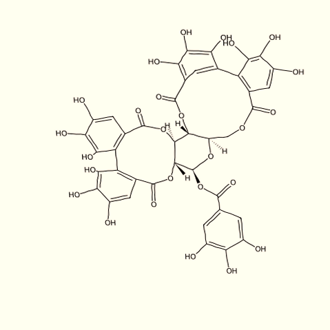 O=C(O[C@@H]1O[C@@H]2COC(=O)c3cc(O)c(O)c(O)c3-c3cc(c(O)c(O)c3O)C(=O)O[C@H]2[C@@H]2OC(=O)c3cc(O)c(O)c(O)c3-c3c(cc(O)c(O)c3O)C(=O)O[C@@H]12)c1cc(O)c(O)c(O)c1